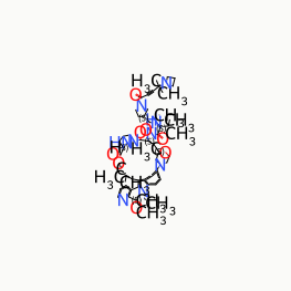 CCn1c(-c2cccnc2[C@H](C)OC)c2c3cc(ccc31)N1CCO[C@@](C)(C[C@H](NC(=O)[C@H](C(C)C)N(C)C(=O)[C@H]3CCN(C(=O)C#CC(C)(C)N4CCC4)C3)C(=O)N3CCC[C@H](N3)C(=O)OCC(C)(C)C2)C1